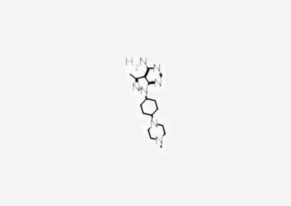 Cc1nn(C2CCC(N3CCN(C)CC3)CC2)c2ncnc(N)c12